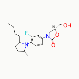 CCCCC1CCC(C)N1c1ccc(N2C[C@H](CO)OC2=O)cc1F